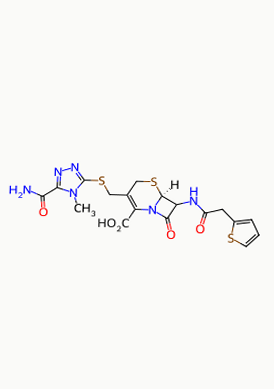 Cn1c(SCC2=C(C(=O)O)N3C(=O)C(NC(=O)Cc4cccs4)[C@@H]3SC2)nnc1C(N)=O